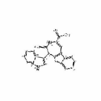 O=C(O)C1=Cc2c([nH]c3ccccc23)C(c2c[nH]c3ccccc23)C(=O)N1